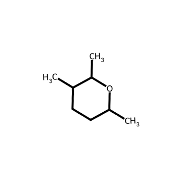 CC1CCC(C)C(C)O1